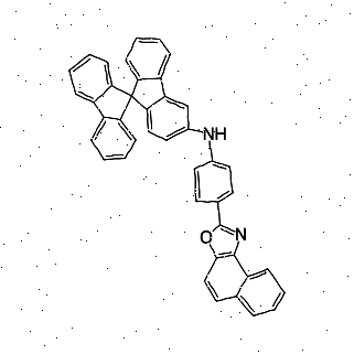 c1ccc2c(c1)-c1ccccc1C21c2ccccc2-c2cc(Nc3ccc(-c4nc5c(ccc6ccccc65)o4)cc3)ccc21